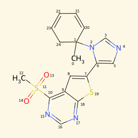 CC1(n2cncc2-c2cc3c(S(C)(=O)=O)ncnc3s2)C=CC=CC1